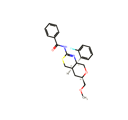 COC[C@H]1C[C@H]2CSC(NC(=O)c3ccccc3)=N[C@@]2(c2ccccc2F)CO1